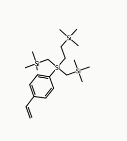 C=Cc1ccc([Si](CC[Si](C)(C)C)(C[Si](C)(C)C)C[Si](C)(C)C)cc1